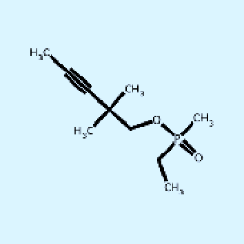 CC#CC(C)(C)COP(C)(=O)CC